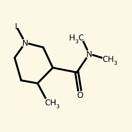 CC1CCN(I)CC1C(=O)N(C)C